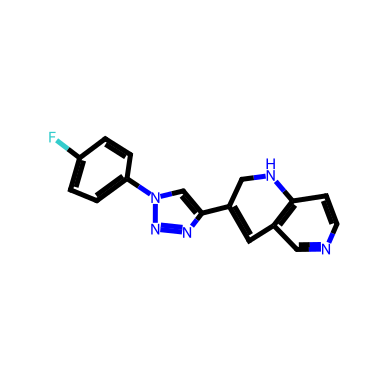 Fc1ccc(-n2cc(C3=Cc4cnccc4NC3)nn2)cc1